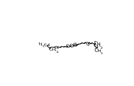 CC(I)CC(C)CCCOCCCCCCOCOCOCCCCCCOCCCC(C)CC(C)I